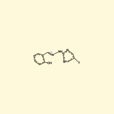 Oc1ccccc1/C=N/Nc1ncc(F)cn1